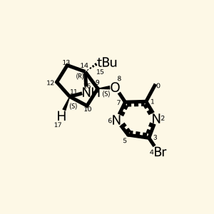 Cc1nc(Br)cnc1O[C@H]1C[C@@H]2CC[C@]1(C(C)(C)C)N2